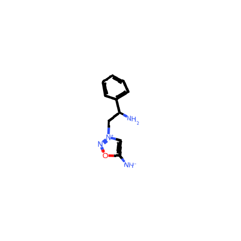 [NH-]c1c[n+](CC(N)c2ccccc2)no1